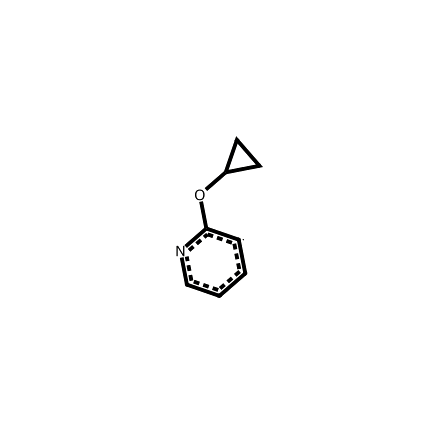 [c]1cccnc1OC1CC1